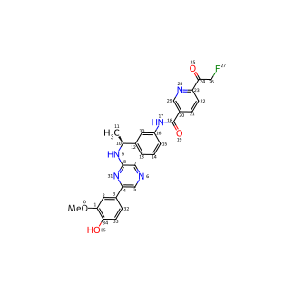 COc1cc(-c2cncc(N[C@@H](C)c3cccc(NC(=O)c4ccc(C(=O)CF)nc4)c3)n2)ccc1O